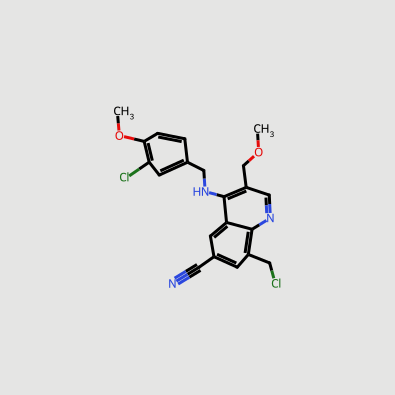 COCc1cnc2c(CCl)cc(C#N)cc2c1NCc1ccc(OC)c(Cl)c1